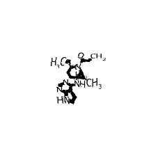 C=CC(=O)N1[C@H](CC)CC[C@@]2(Nc3ncnc4[nH]ccc34)[C@@H]1[C@@H]2C